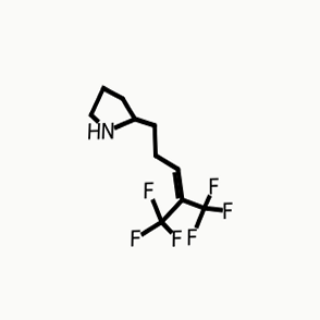 FC(F)(F)C(=CCCC1CCCN1)C(F)(F)F